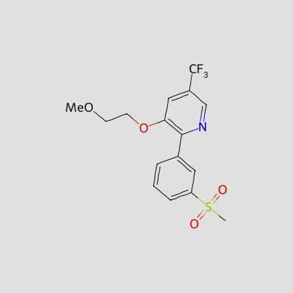 COCCOc1cc(C(F)(F)F)cnc1-c1cccc(S(C)(=O)=O)c1